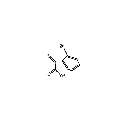 Brc1ccccc1.CC(=O)C=S